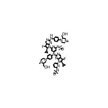 CN1CCN(c2ccc(Nc3ncc4c(F)c(C5CC5)n(-c5cc(N(c6ccc(N7CCN(C)C(CO)C7)cc6)c6ncc7c(F)c(C8CC8)n(-c8cccc(N=S(C)(C)=O)n8)c7n6)cc(N=S(C)(C)=O)n5)c4n3)cc2)C(CO)C1